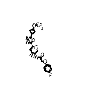 C[C@H]1C[C@H](c2nnc(C3CC(OC(F)(F)F)C3)o2)OC[C@H]1NC(=O)COc1ccc(F)cc1